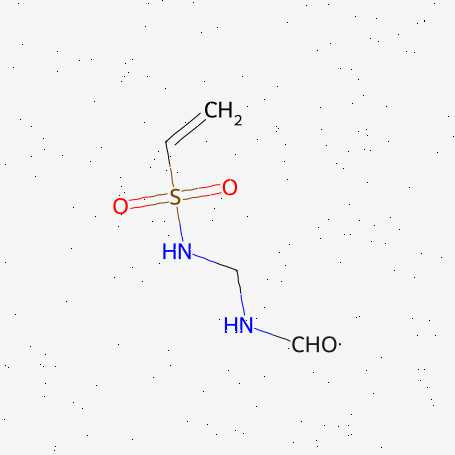 C=CS(=O)(=O)NCN[C]=O